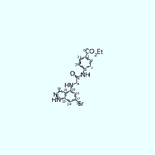 CCOC(=O)c1ccc(NC(=O)CNc2cc(Br)cc3[nH]ncc23)cc1